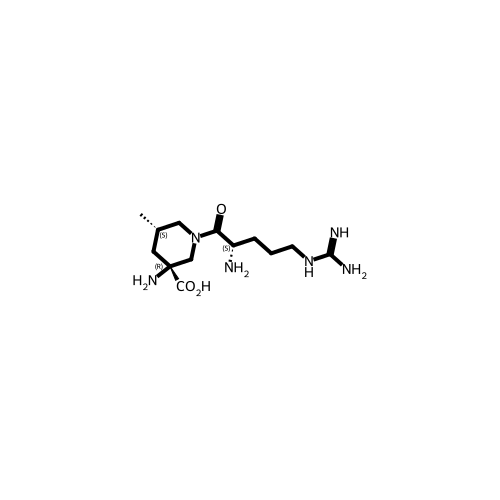 C[C@@H]1CN(C(=O)[C@@H](N)CCCNC(=N)N)C[C@@](N)(C(=O)O)C1